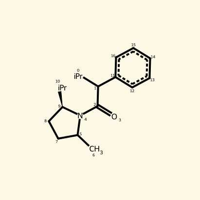 CC(C)C(C(=O)N1C(C)CC[C@H]1C(C)C)c1ccccc1